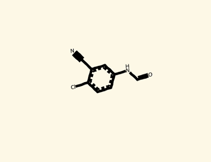 N#Cc1cc(NC=O)ccc1Cl